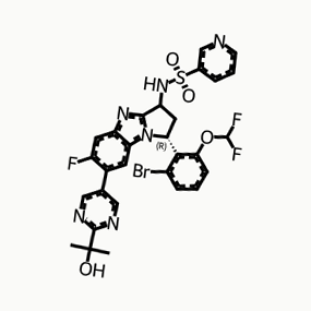 CC(C)(O)c1ncc(-c2cc3c(cc2F)nc2n3[C@@H](c3c(Br)cccc3OC(F)F)CC2NS(=O)(=O)c2cccnc2)cn1